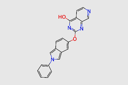 Oc1nc(Oc2ccc3cn(-c4ccccc4)cc3c2)nc2cnccc12